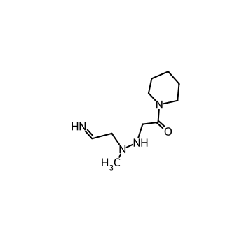 CN(CC=N)NCC(=O)N1CCCCC1